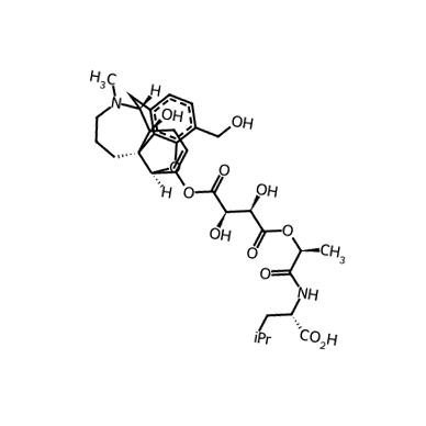 CC(C)C[C@H](NC(=O)[C@H](C)OC(=O)[C@H](O)[C@@H](O)C(=O)OC1=CC[C@@]2(O)[C@H]3Cc4ccc(CO)c5c4[C@@]2(CCCN3C)[C@H]1O5)C(=O)O